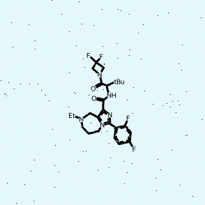 CCN1CCCn2c(-c3ccc(F)cc3F)nc(C(=O)NC(C(=O)N3CC(F)(F)C3)C(C)(C)C)c2C1